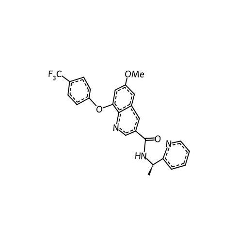 COc1cc(Oc2ccc(C(F)(F)F)cc2)c2ncc(C(=O)N[C@H](C)c3ccccn3)cc2c1